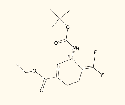 CCOC(=O)C1=C[C@H](NC(=O)OC(C)(C)C)C(=C(F)F)CC1